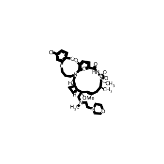 CO[C@@]1(CN(C)CCN2CCOCC2)/C=C/C[C@H](C)[C@@H](C)S(=O)(=O)NC(=O)c2ccc3c(c2)N(CCCCc2cc(Cl)ccc2CO3)C[C@@H]2CC[C@H]21